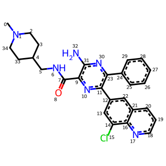 CN1CCC(CNC(=O)c2nc(-c3cc(Cl)c4ncccc4c3)c(-c3ccccc3)nc2N)CC1